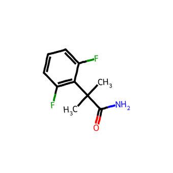 CC(C)(C(N)=O)c1c(F)cccc1F